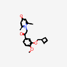 COc1ccc(C(=O)Cn2c(C)cc(=O)cc2C)cc1OCC1CCC1